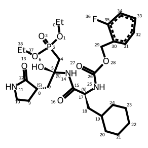 CCOP(=O)(C[C@@](O)(C[C@@H]1CCNC1=O)NC(=O)[C@H](CC1CCCCC1)NC(=O)OCc1ccccc1F)OCC